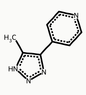 Cc1[nH]nnc1-c1ccncc1